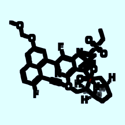 CC#Cc1c(F)ccc2cc(OCOC)cc(-c3nc4c5c(nc(S(=O)(=O)CC)nc5c3F)N3C[C@H]5CC[C@@H]([C@H]3CO4)N5C(=O)OC(C)(C)C)c12